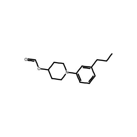 CCCc1cccc(N2CCC(OC=O)CC2)c1